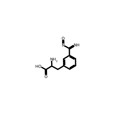 N=C(N=O)c1cccc(CC(N)C(=O)O)c1